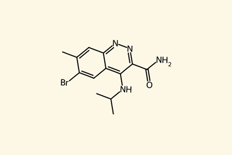 Cc1cc2nnc(C(N)=O)c(NC(C)C)c2cc1Br